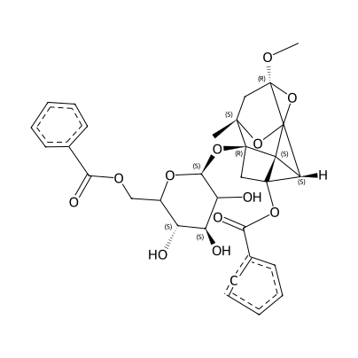 CO[C@]12C[C@]3(C)OC(O1)[C@@]14[C@H]2C1(OC(=O)c1ccccc1)C[C@]34O[C@@H]1OC(COC(=O)c2ccccc2)[C@@H](O)[C@H](O)C1O